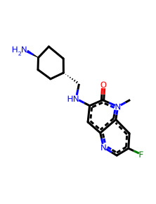 Cn1c(=O)c(NC[C@H]2CC[C@H](N)CC2)cc2ncc(F)cc21